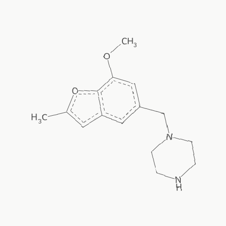 COc1cc(CN2CCNCC2)cc2cc(C)oc12